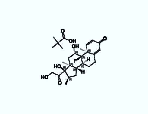 CC(C)(C)C(=O)O.C[C@@H]1C[C@H]2[C@@H]3CCC4=CC(=O)C=C[C@]4(C)[C@@]3(F)[C@@H](O)C[C@]2(C)[C@@]1(O)C(=O)CO